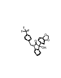 O=C1N(Cc2ccc(C(F)(F)F)cc2)c2ccccc2C1(O)c1ccc2c(c1)OCO2